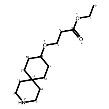 CCOC(=O)CCOC1CCC2(CCNCC2)CC1